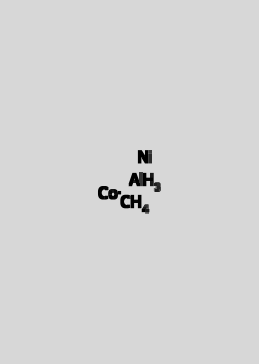 C.[AlH3].[Co].[Ni]